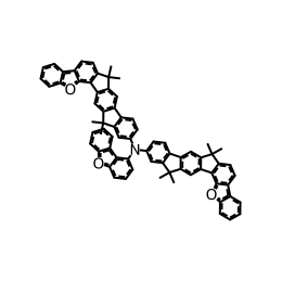 CC1(C)c2cc(N(c3ccc4c(c3)C(C)(C)c3cc5c(cc3-4)C(C)(C)c3ccc4c(oc6ccccc64)c3-5)c3cccc4oc5ccccc5c34)ccc2-c2cc3c(cc21)-c1c(ccc2c1oc1ccccc12)C3(C)C